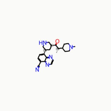 C[C@H](C(=O)[C@@H]1CNC[C@H](c2ccc(C#N)c3nccnc23)C1)C1CCN(C)CC1